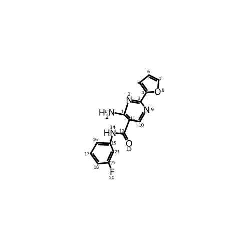 Nc1nc(-c2ccco2)ncc1C(=O)Nc1cccc(F)c1